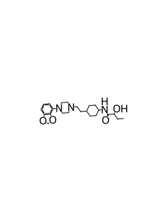 CCC(O)C(=O)NC1CCC(CCN2CCN(c3cccc4c3OCO4)CC2)CC1